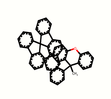 CC1(c2ccccc2)c2ccccc2Oc2ccc(-c3cccc4c3C3(c5ccccc5-4)c4ccccc4-c4ccc5ccccc5c43)cc21